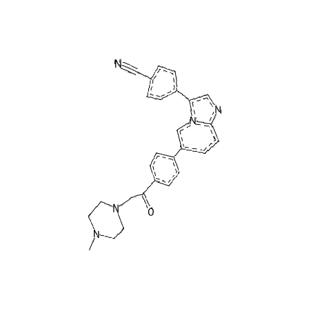 CN1CCN(CC(=O)c2ccc(-c3ccc4ncc(-c5ccc(C#N)cc5)n4c3)cc2)CC1